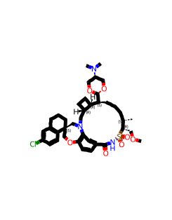 COC[C@H]1[C@@H](C)CCC[C@H]([C@H]2OC[C@@H](N(C)C)CO2)[C@@H]2CC[C@H]2CN2C[C@@]3(CCCc4cc(Cl)ccc43)COc3ccc(cc32)C(=O)NS1(=O)=O